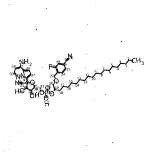 CCCCCCCCCCCCCCCCCCC[C@H](COCc1ccc(C#N)cc1F)OP(=O)(O)OC[C@H]1O[C@@](C#N)(c2ccc3c(N)ccnn23)[C@H](O)[C@@H]1O